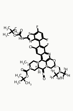 [2H]C([2H])([2H])N(C[C@@H]1CN2C(=C=O)[C@H]3CN(C(=O)OC(C)(C)C)[C@H](C)CN3c3c2c(nc2c(F)c(-c4c(F)cc(F)c5sc(NC(=O)OC(C)(C)C)nc45)c(Cl)cc32)O1)C([2H])([2H])[2H]